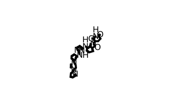 O=C1CCC(N2Cc3c(Nc4ccnc(Nc5cccc(N6CCN(c7ccccn7)CC6)c5)n4)cccc3C2=O)C(=O)N1